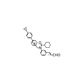 O=C/C=C/c1cccc(N(CC23CCC(c4ccc(C5CC5)cc4)(CC2)CC3)C(=O)C2CCCCC2)c1